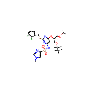 CC(C)OCC(CO[Si](C)(C)C(C)(C)C)Oc1cc(NS(=O)(=O)c2cn(C)cn2)nc(SCc2cccc(F)c2F)n1